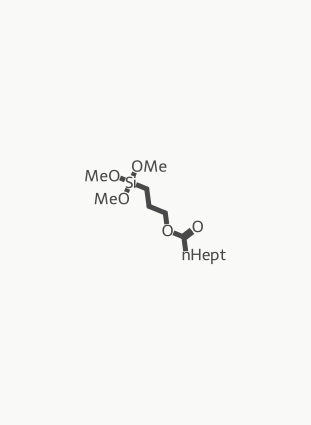 CCCCCCCC(=O)OCCC[Si](OC)(OC)OC